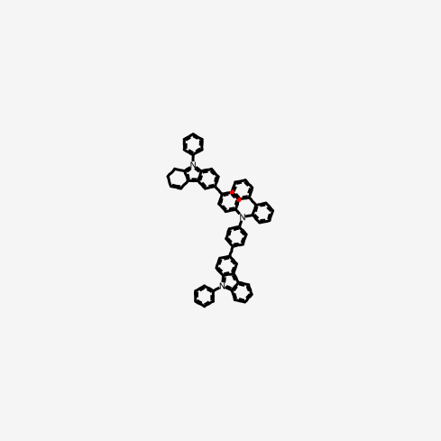 C1=Cc2c(n(-c3ccccc3)c3ccc(-c4ccc(N(c5ccc(-c6ccc7c(c6)c6ccccc6n7-c6ccccc6)cc5)c5ccccc5-c5ccccc5)cc4)cc23)CC1